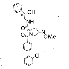 CON=C1C[C@@H](C(=O)NC[C@@H](O)c2ccccc2)N(C(=O)c2ccc(-c3ccccc3Cl)cc2)C1